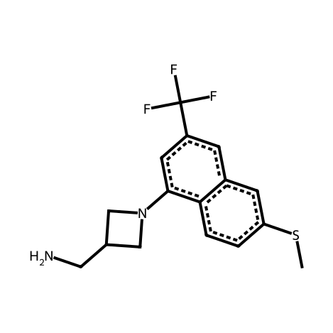 CSc1ccc2c(N3CC(CN)C3)cc(C(F)(F)F)cc2c1